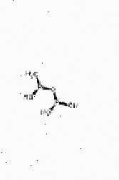 CP(O)OP(O)O